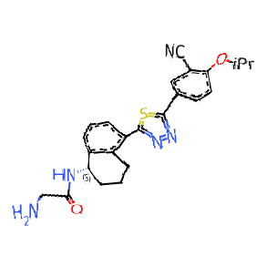 CC(C)Oc1ccc(-c2nnc(-c3cccc4c3CCC[C@@H]4NC(=O)CN)s2)cc1C#N